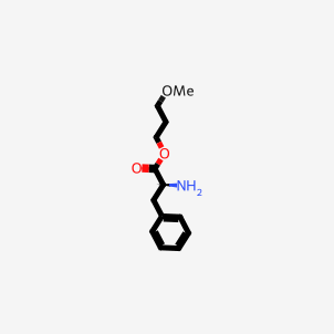 COCCCOC(=O)[C@@H](N)Cc1ccccc1